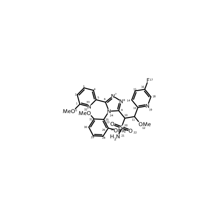 COc1cccc(-c2nnc(C(C(OC)c3ccc(F)cn3)S(N)(=O)=O)n2-c2c(OC)cccc2OC)n1